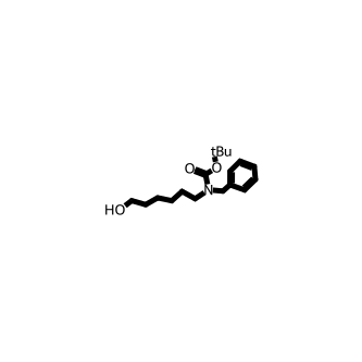 CC(C)(C)OC(=O)N(CCCCCCO)Cc1ccccc1